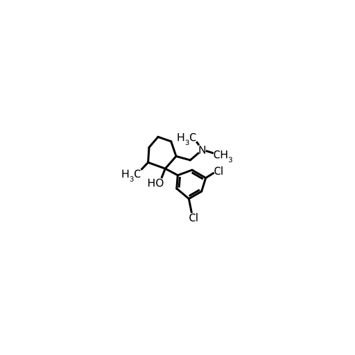 CC1CCCC(CN(C)C)C1(O)c1cc(Cl)cc(Cl)c1